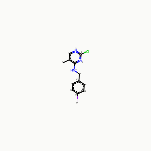 Cc1cnc(Cl)nc1NCc1ccc(I)cc1